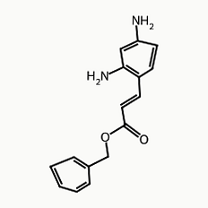 Nc1ccc(C=CC(=O)OCc2ccccc2)c(N)c1